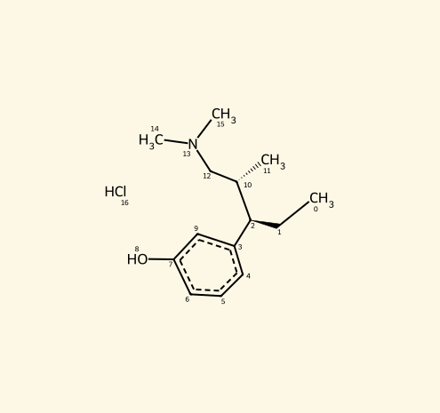 CC[C@@H](c1cccc(O)c1)[C@@H](C)CN(C)C.Cl